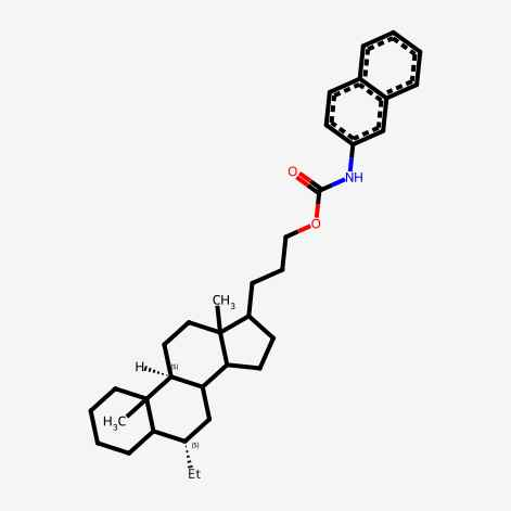 CC[C@H]1CC2C3CCC(CCCOC(=O)Nc4ccc5ccccc5c4)C3(C)CC[C@@H]2C2(C)CCCCC12